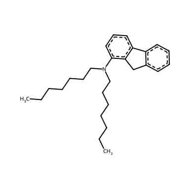 CCCCCCCN(CCCCCCC)c1cccc2c1Cc1ccccc1-2